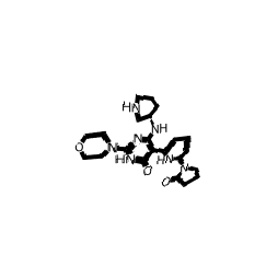 O=C1CCCN1C1C=CC=C(c2c(N[C@@H]3CCCNC3)nc(N3CCOCC3)[nH]c2=O)N1